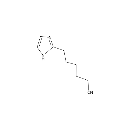 N#CCCCCCc1ncc[nH]1